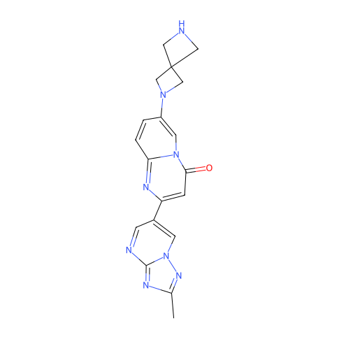 Cc1nc2ncc(-c3cc(=O)n4cc(N5CC6(CNC6)C5)ccc4n3)cn2n1